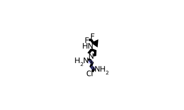 N/C(Cl)=C\C=C(/N)N1CCC(NC2(C(F)F)CC2)C1